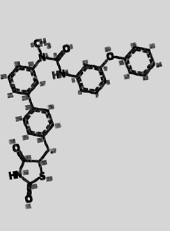 CN(C(=O)Nc1cccc(Oc2ccccc2)c1)c1cccc(-c2ccc(CC3SC(=O)NC3=O)cc2)c1